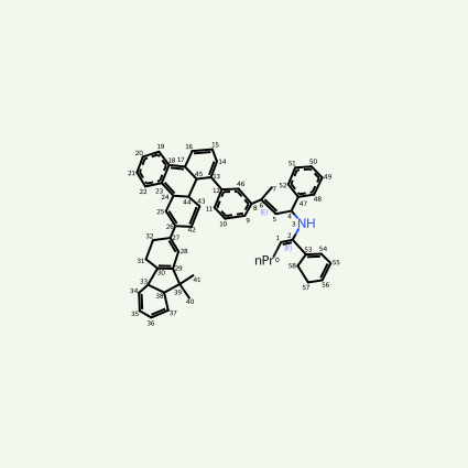 CCC/C=C(/NC(/C=C(\C)c1cccc(C2=CC=CC3=c4ccccc4=C4C=C(C5=CC6=C(CC5)C5C=CC=CC5C6(C)C)C=CC4C23)c1)c1ccccc1)C1=CC=CCC1